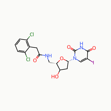 O=C(Cc1c(Cl)cccc1Cl)NC[C@@H]1O[C@H](n2cc(I)c(=O)[nH]c2=O)CC1O